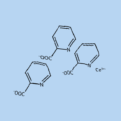 O=C([O-])c1ccccn1.O=C([O-])c1ccccn1.O=C([O-])c1ccccn1.[Ce+3]